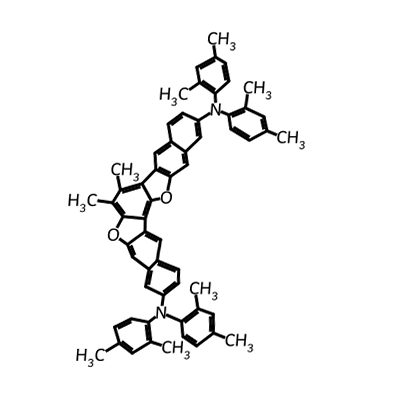 Cc1ccc(N(c2ccc3cc4c(cc3c2)oc2c4c(C)c(C)c3oc4cc5cc(N(c6ccc(C)cc6C)c6ccc(C)cc6C)ccc5cc4c32)c2ccc(C)cc2C)c(C)c1